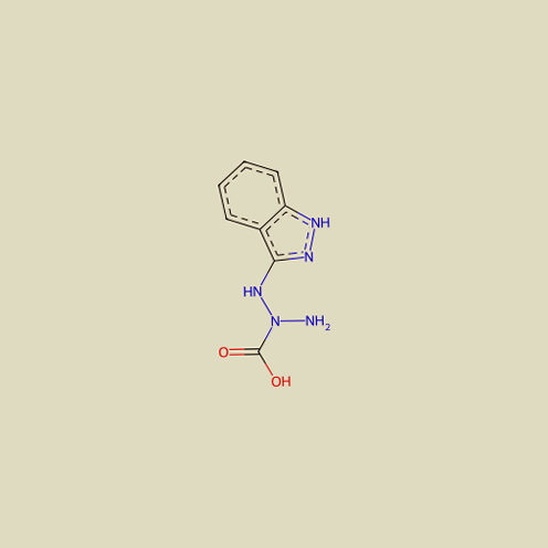 NN(Nc1n[nH]c2ccccc12)C(=O)O